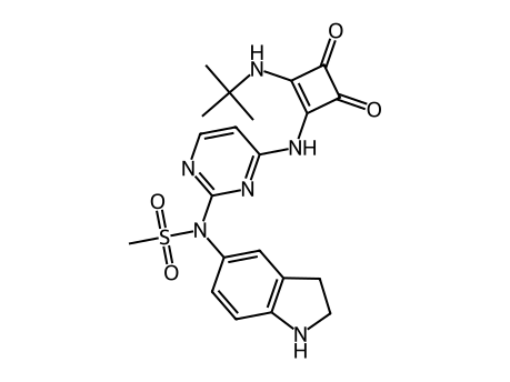 CC(C)(C)Nc1c(Nc2ccnc(N(c3ccc4c(c3)CCN4)S(C)(=O)=O)n2)c(=O)c1=O